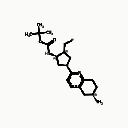 CC(C)(C)OC(=O)N[C@@H]1CN(c2ccc3c(n2)CC[C@H](N)C3)C[C@@H]1CF